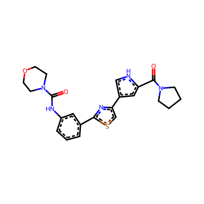 O=C(Nc1cccc(-c2nc(-c3c[nH]c(C(=O)N4CCCC4)c3)cs2)c1)N1CCOCC1